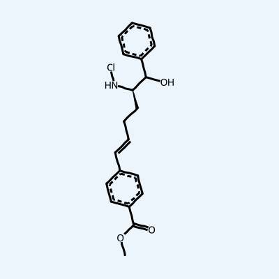 COC(=O)c1ccc(C=CCC[C@@H](NCl)C(O)c2ccccc2)cc1